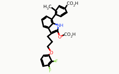 Cc1cc(C(=O)O)ccc1-c1cccc2c(CCCOc3cccc(F)c3F)c(OC(=O)O)[nH]c12